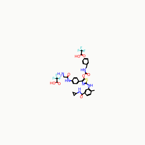 Cc1ccc(C(=O)NC2CC2)cc1Nc1nc(-c2ccc(NC(=O)CN)cc2)c(OC(=O)NCc2ccccc2)s1.O=C(O)C(F)(F)F.O=C(O)C(F)(F)F